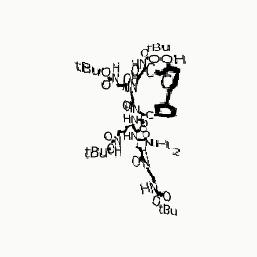 CC(C)(C)OC(=O)NCCC[C@@H](NC(=O)[C@@H]1Cc2cccc(c2)-c2ccc(O)c(c2)C[C@H](NC(=O)OC(C)(C)C)C(=O)N[C@@H](C[C@@H](O)CNC(=O)OC(C)(C)C)C(=O)N1)C(=O)N[C@@H](CCC(=O)NCCNC(=O)OC(C)(C)C)C(N)=O